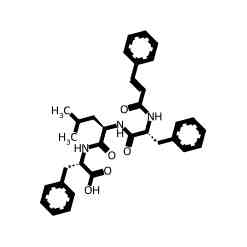 CC(C)C[C@@H](NC(=O)[C@@H](Cc1ccccc1)NC(=O)/C=C/c1ccccc1)C(=O)N[C@@H](Cc1ccccc1)C(=O)O